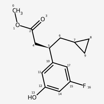 COC(=O)C[C@@H](CC1CC1)c1cc(O)cc(F)c1